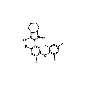 Cc1cc(F)c(Oc2cc(-c3c(Cl)n4n(c3=O)CCCC4)c(F)cc2Cl)c(Cl)c1